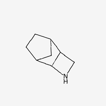 C1CC2CC1C1CNC21